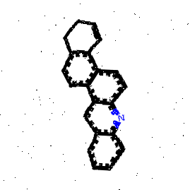 C1=Cc2c(ccc3c2ccc2nc4ccccc4cc23)CC1